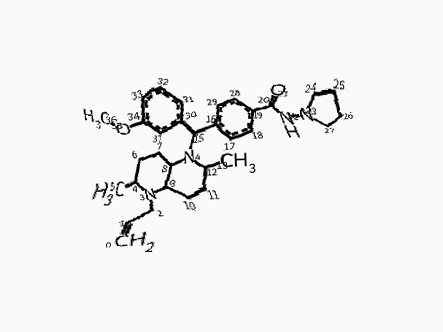 C=CCN1C(C)CCC2C1CCC(C)N2C(c1ccc(C(=O)NN2CCCC2)cc1)c1cccc(OC)c1